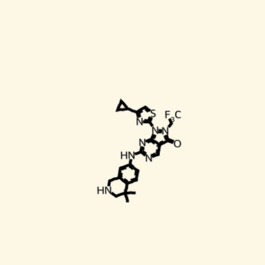 CC1(C)CNCc2cc(Nc3ncc4c(=O)n(CC(F)(F)F)n(-c5nc(C6CC6)cs5)c4n3)ccc21